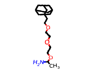 CC(N)OCCOCCOCCC12CC3CC(CC(C3)C1)C2